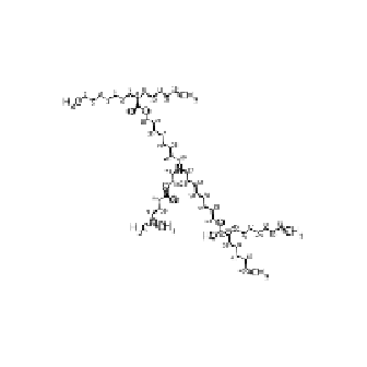 CCCCCCCCC(CCCCCC)C(=O)OCCCCCCCCN(CCCCCCCCOC(O)C(CCCCCC)CCCCCCCC)CCOC(=O)CCCN(C)C